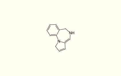 C1=CC2=CNCc3ccccc3N2C1